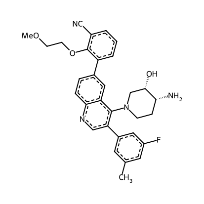 COCCOc1c(C#N)cccc1-c1ccc2ncc(-c3cc(C)cc(F)c3)c(N3CC[C@@H](N)[C@@H](O)C3)c2c1